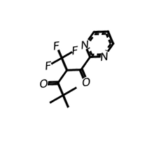 CC(C)(C)C(=O)C(C(=O)c1ncccn1)C(F)(F)F